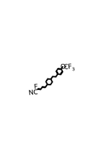 N#CC(F)=CC=CC1CCC(CCc2ccc(OC(F)(F)F)cc2)CC1